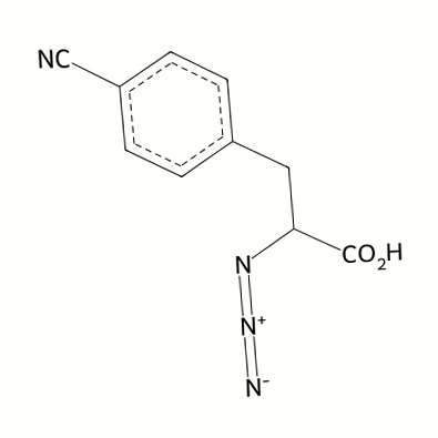 N#Cc1ccc(CC(N=[N+]=[N-])C(=O)O)cc1